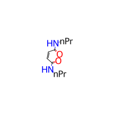 CCCNC(=O)/C=C\C(=O)NCCC